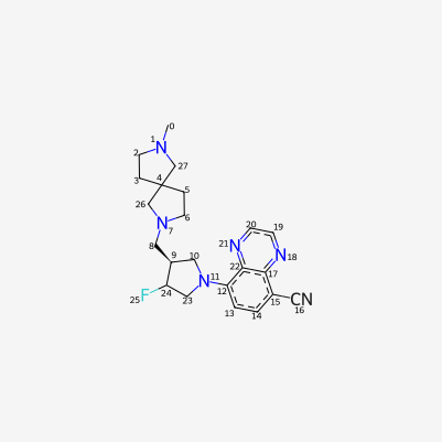 CN1CCC2(CCN(C[C@H]3CN(c4ccc(C#N)c5nccnc45)CC3F)C2)C1